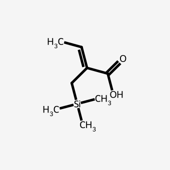 CC=C(C[Si](C)(C)C)C(=O)O